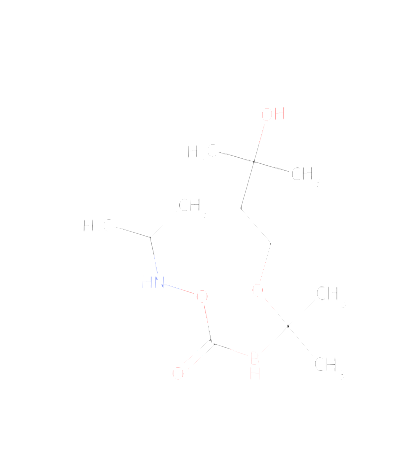 CC(C)NOC(=O)BC(C)(C)OCCC(C)(C)O